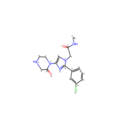 CC(C)NC(=O)Cn1cc(N2CCNCC2=O)nc1-c1cccc(Cl)c1